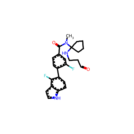 CN(C(=O)c1ccc(-c2ccc3[nH]ccc3c2F)c(F)c1)C1(NCCC=O)CCCC1